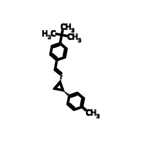 Cc1ccc([C@@H]2C[C@@H]2/C=C/c2ccc(C(C)(C)C)cc2)cc1